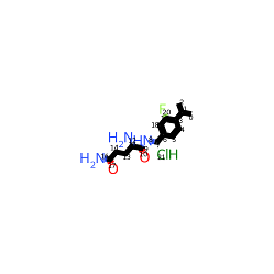 CC(C)c1ccc(CNC(=O)[C@@H](N)CCC(N)=O)cc1F.Cl